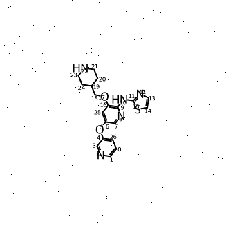 c1cncc(Oc2cnc(Nc3nccs3)c(OCC3CCNCC3)c2)c1